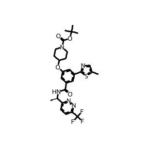 Cc1cnc(-c2cc(OC3CCN(C(=O)OC(C)(C)C)CC3)cc(C(=O)N[C@H](C)c3ccc(C(F)(F)F)nn3)c2)s1